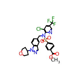 COC(=O)c1ccc(S(=O)(=O)N(Cc2ccc3c(cnn3C3CCOCC3)c2)c2ncc(C(F)(F)F)cc2Cl)cc1